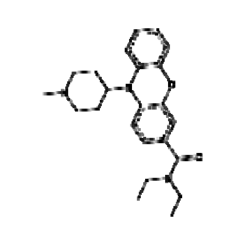 CCN(CC)C(=O)c1ccc2c(c1)Oc1ccccc1N2C1CCN(C)CC1